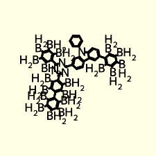 Bc1c(B)c(B)c(-c2ccc3c(c2)c2ccc(-c4nc(-c5c(B)c(B)c(B)c(B)c5B)nc(-c5c(B)c(B)c(-c6c(B)c(B)c(B)c(B)c6B)c(B)c5B)n4)cc2n3-c2ccccc2)c(B)c1B